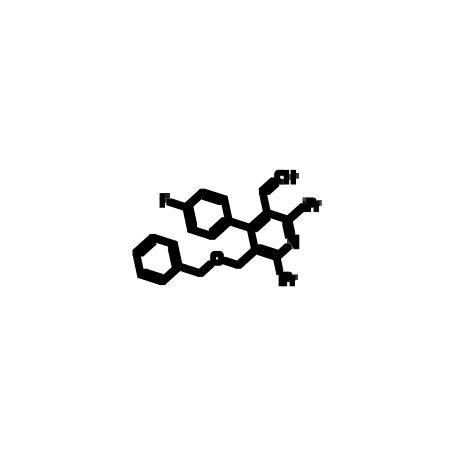 [CH]=Cc1c(C(C)C)nc(C(C)C)c(COCc2ccccc2)c1-c1ccc(F)cc1